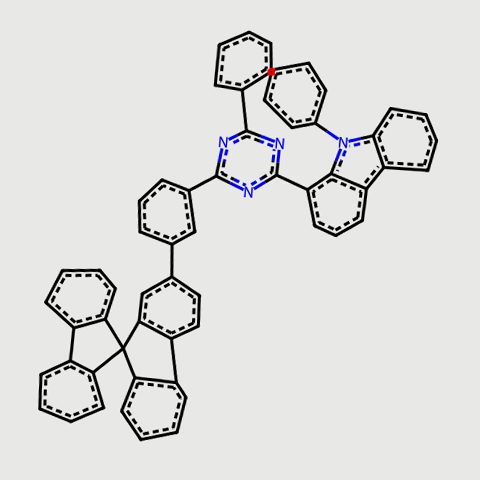 c1ccc(-c2nc(-c3cccc(-c4ccc5c(c4)C4(c6ccccc6-c6ccccc64)c4ccccc4-5)c3)nc(-c3cccc4c5ccccc5n(-c5ccccc5)c34)n2)cc1